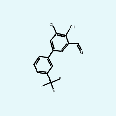 O=Cc1cc(-c2cccc(C(F)(F)F)c2)cc(Cl)c1O